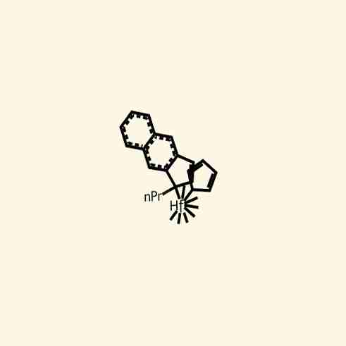 CCC[C]1([Hf]([CH3])([CH3])([CH3])([CH3])([CH3])([CH3])([CH3])[CH]2C=CC=C2)C=Cc2cc3ccccc3cc21